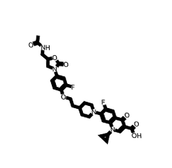 CC(=O)NCC1CN(c2ccc(OCCC3CCN(c4cc5c(cc4F)c(=O)c(C(=O)O)cn5C4CC4)CC3)c(F)c2)C(=O)O1